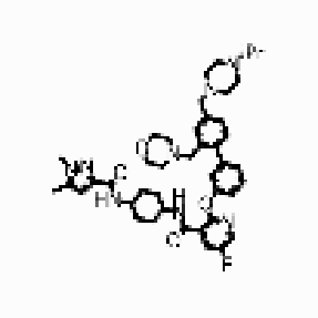 Cc1cc(C(=O)NC2CCC(NC(=O)c3cc(F)cnc3Oc3cccc(-c4ccc(CN5CCN(C(C)C)CC5)cc4CN4CCOCC4)c3)CC2)nn1C